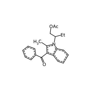 CCC(COC(C)=O)n1c(C)c(C(=O)c2ccccc2)c2ccccc21